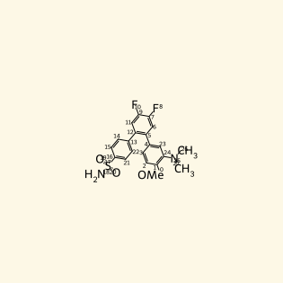 COc1ccc(-c2cc(F)c(F)cc2-c2ccc(S(N)(=O)=O)cc2)cc1N(C)C